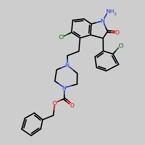 NN1C(=O)C(c2ccccc2Cl)c2c1ccc(Cl)c2CCN1CCN(C(=O)OCc2ccccc2)CC1